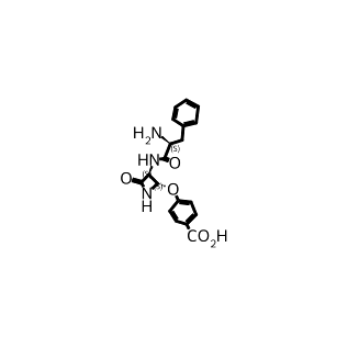 N[C@@H](Cc1ccccc1)C(=O)N[C@@H]1C(=O)N[C@H]1Oc1ccc(C(=O)O)cc1